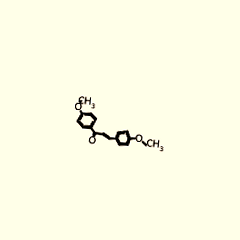 CCOc1ccc(C=CC(=O)c2ccc(OC)cc2)cc1